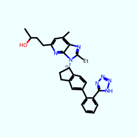 CCc1nc2c(C)cc(CCC(C)O)nc2n1[C@H]1CCc2cc(-c3ccccc3-c3nnn[nH]3)ccc21